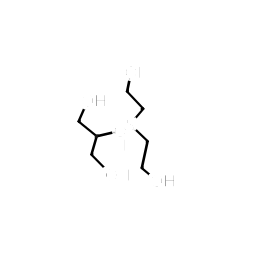 OCC(O)CO.OCCSCCO